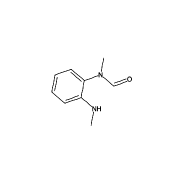 CNc1ccccc1N(C)C=O